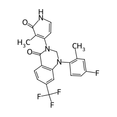 Cc1cc(F)ccc1N1CN(c2cc[nH]c(=O)c2C)C(=O)c2ccc(C(F)(F)F)cc21